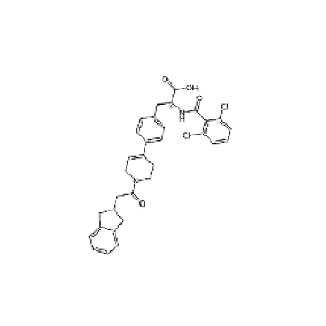 O=C(N[C@@H](Cc1ccc(C2=CCN(C(=O)CC3Cc4ccccc4C3)CC2)cc1)C(=O)O)c1c(Cl)cccc1Cl